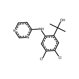 CC(C)(O)c1cc(Cl)c(Cl)cc1Nc1ccncn1